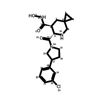 O=C(NO)[C@H]1CC2(CC2)CN[C@@H]1C(=O)N1CCC(c2cccc(Cl)c2)C1